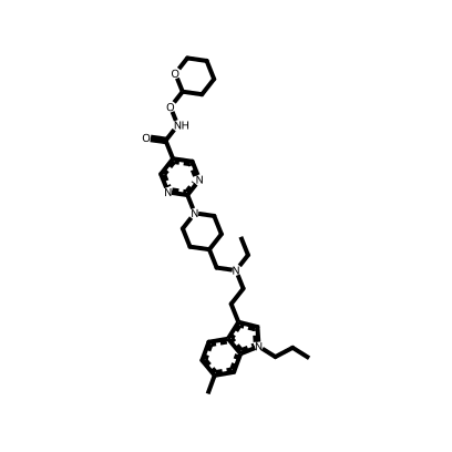 CCCn1cc(CCN(CC)CC2CCN(c3ncc(C(=O)NOC4CCCCO4)cn3)CC2)c2ccc(C)cc21